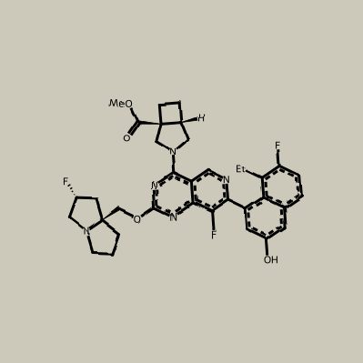 CCc1c(F)ccc2cc(O)cc(-c3ncc4c(N5C[C@H]6CC[C@@]6(C(=O)OC)C5)nc(OC[C@@]56CCCN5C[C@H](F)C6)nc4c3F)c12